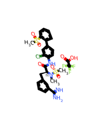 CN([C@@H](Cc1cccc(C(=N)N)c1)C(=O)Nc1ccc(-c2ccccc2S(C)(=O)=O)cc1Cl)S(C)(=O)=O.O=C(O)C(F)(F)F